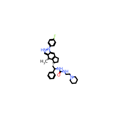 C[C@H]1C2=CNN(c3ccc(F)cc3)C2=CC2=C1[C@@H](CC(NC(=O)NCCN1CCCCC1)c1ccccc1)CC2